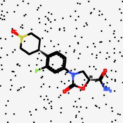 NC(=O)[C@H]1CN(c2ccc([C@H]3CC[S@+]([O-])CC3)c(F)c2)C(=O)O1